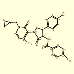 Cc1ccn(CC2CC2)c(=O)c1N1C[C@@H](c2ccc(Cl)cc2)C(NC(=O)c2ccc(Cl)cc2)C1=O